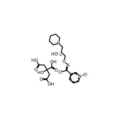 O=C(O)CC(O)(CC(=O)O)C(=O)O.[O-][n+]1cccc(C(Cl)=NOC[C@H](O)CN2CCCCC2)c1